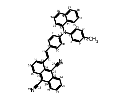 Cc1ccc(N(c2ccc(C=Cc3cccc4c(C#N)c5ccccc5c(C#N)c34)cc2)c2cccc3ccccc23)cc1